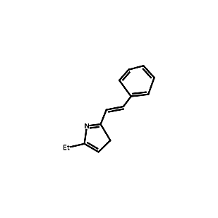 CCC1=CCC(C=Cc2ccccc2)=N1